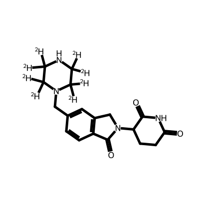 [2H]C1([2H])NC([2H])([2H])C([2H])([2H])N(Cc2ccc3c(c2)CN(C2CCC(=O)NC2=O)C3=O)C1([2H])[2H]